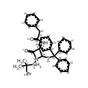 CC(C)C(C)(C)[SiH2]N1C(=O)C(NC(=O)Cc2ccccc2)C1SC(c1ccccc1)(c1ccccc1)c1ccccc1